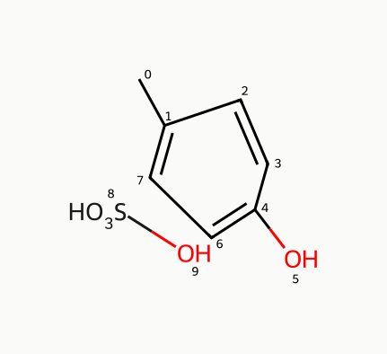 Cc1ccc(O)cc1.O=S(=O)(O)O